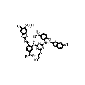 CCN(CC)c1ccc(/N=N/c2nc3ccc(Cl)cc3s2)c(Nc2nc(Nc3cc(N(CC)CC)ccc3/N=N/c3nc4cc(S(=O)(=O)O)c(Cl)cc4s3)nc(SCCO)n2)c1